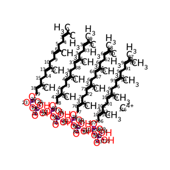 CC(C)=CCC/C(C)=C/CC/C(C)=C/CC/C(C)=C/COP(=O)([O-])OP(=O)(O)O.CC(C)=CCC/C(C)=C/CC/C(C)=C/CC/C(C)=C/COP(=O)([O-])OP(=O)(O)O.CC(C)=CCC/C(C)=C/CC/C(C)=C/CC/C(C)=C/COP(=O)([O-])OP(=O)(O)O.CC(C)=CCC/C(C)=C/CC/C(C)=C/CC/C(C)=C/COP(=O)([O-])OP(=O)(O)O.[C+4]